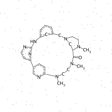 CN1CCN(C)c2ccc(cn2)-c2ccnc(n2)Nc2cccc(c2)CN2CCN(C)C(C2)C1=O